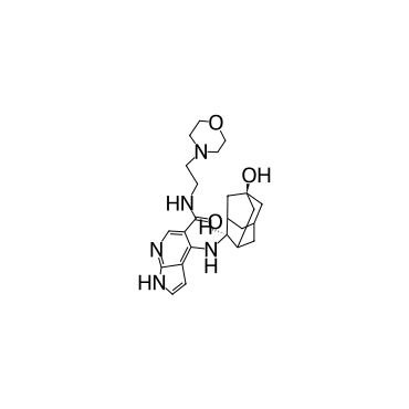 O=C(NCCN1CCOCC1)c1cnc2[nH]ccc2c1N[C@H]1C2CC3CC1C[C@@](O)(C3)C2